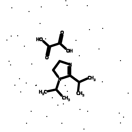 CC(C)C1=NCCN1C(C)C.O=C(O)C(=O)O